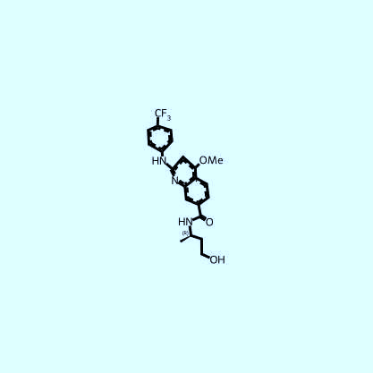 COc1cc(Nc2ccc(C(F)(F)F)cc2)nc2cc(C(=O)N[C@H](C)CCO)ccc12